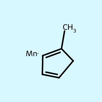 CC1=CC=CC1.[Mn]